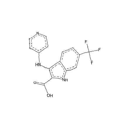 O=C(O)c1[nH]c2cc(C(F)(F)F)ccc2c1Nc1ccncc1